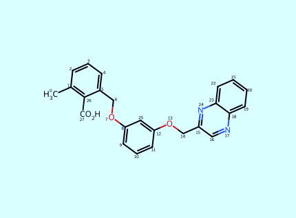 Cc1cccc(COc2cccc(OCc3cnc4ccccc4n3)c2)c1C(=O)O